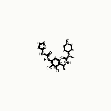 CC(NC(=O)N(C)C1CCN(C)CC1)c1ccc(NC(=O)Nc2cccs2)c(Cl)c1Cl